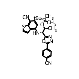 [C-]#[N+]c1ccc(N[C@@H](c2nnc(-c3ccc(C#N)cc3)o2)[C@H](C)O[Si](C)(C)C(C)(C)C)c2ccsc12